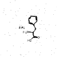 N[C@@H](Cc1ccccc1)C(=O)O.[AtH]